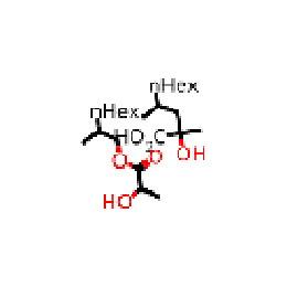 CCCCCCC(C)CC(C)(O)C(=O)O.CCCCCCC(C)COC(=O)C(C)O